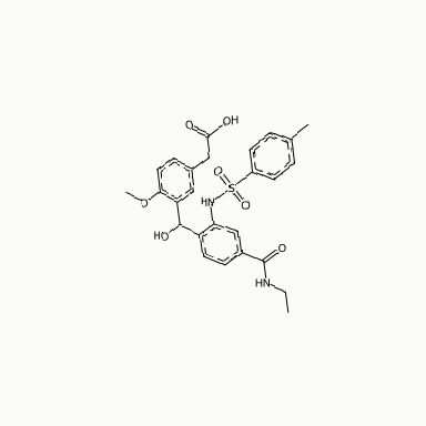 CCNC(=O)c1ccc(C(O)c2cc(CC(=O)O)ccc2OC)c(NS(=O)(=O)c2ccc(C)cc2)c1